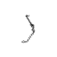 CCCCCCCCCCCCCCCCCCCCCCOc1ccc(C=Cc2ccc(S(=O)(=O)CCCCCCCCCCCCO)cc2)cc1